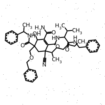 CCCCCC(C)C1(C#N)CC(COCc2ccccc2)(C(=O)NC(C)c2ccccc2)C(O)C(C(N)=O)=C1C(=O)NC(C(=O)NCc1ccccc1)C(C)C